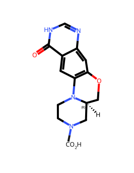 O=C(O)N1CCN2c3cc4c(=O)[nH]cnc4cc3OC[C@H]2C1